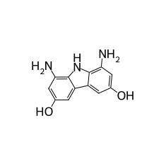 Nc1cc(O)cc2c1[nH]c1c(N)cc(O)cc12